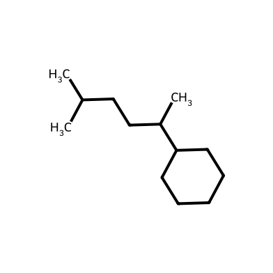 CC(C)CCC(C)C1CCCCC1